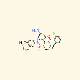 Cc1ccc(NC(=O)C2CCCN(C(=O)c3c(C)cccc3F)C2[C@@H]2C=CC(N)=CC2)cc1C(F)(F)F